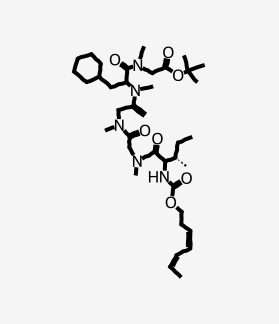 C=C(CN(C)C(=O)CN(C)C(=O)C(NC(=O)OCC/C=C\C=C/C)[C@@H](C)CC)N(C)C(CC1CCCCC1)C(=O)N(C)CC(=O)OC(C)(C)C